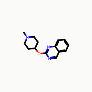 CN1CCC(Oc2ncc3ccccc3n2)CC1